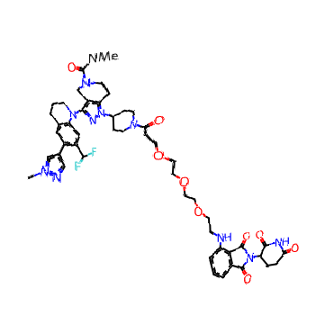 CNC(=O)N1CCc2c(c(N3CCCc4cc(-c5cnn(C)c5)c(C(F)F)cc43)nn2C2CCN(C(=O)CCOCCOCCOCCNc3cccc4c3C(=O)N(C3CCC(=O)NC3=O)C4=O)CC2)C1